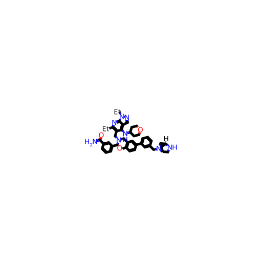 CCc1nc2c(cnn2CC)c(NC2CCOCC2)c1CN(Cc1cc(-c2cccc(CN3C[C@@H]4CC3CN4)c2)ccc1C)C(=O)c1cccc(C(N)=O)c1